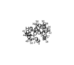 C[Si](C)(C)OCC1O[C@H](O[C@H]2O[C@H](CO[Si](C)(C)C)[C@@H](O[Si](C)(C)C)C(O[Si](C)(C)C)C2O[Si](C)(C)C)[C@@H](O)C(O[Si](C)(C)C)[C@@H]1O[Si](C)(C)C